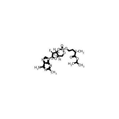 Cc1nc(N)c2ncn([C@@H]3O[C@@H]4CO[P@@](=O)(OCC[C@H](C)C(=O)OC(C)C)O[C@H]4[C@@H]3F)c2n1